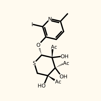 CC(=O)[C@]1(O)[C@@](O)(C(C)=O)CS[C@H](Oc2ccc(C)nc2I)[C@@]1(O)C(C)=O